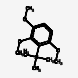 COc1ccc(OC)c([Si](C)(C)C)c1OC